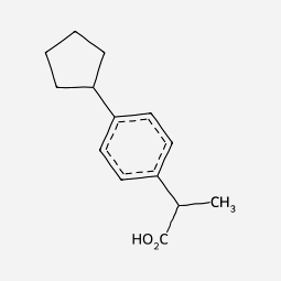 CC(C(=O)O)c1ccc(C2CCCC2)cc1